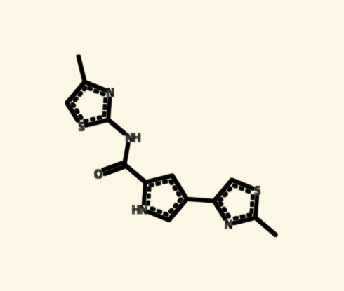 Cc1csc(NC(=O)c2cc(-c3csc(C)n3)c[nH]2)n1